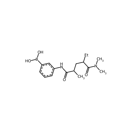 CCC(CC(C)C(=O)Nc1cccc(B(O)O)c1)C(=O)N(C)C